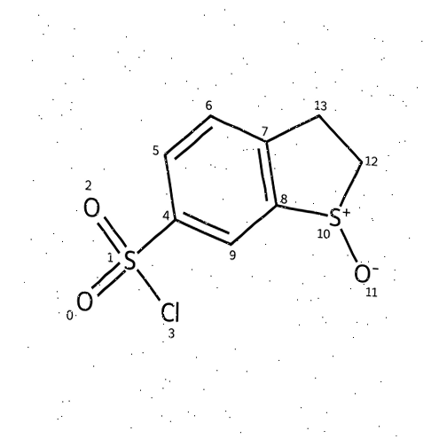 O=S(=O)(Cl)c1ccc2c(c1)[S+]([O-])CC2